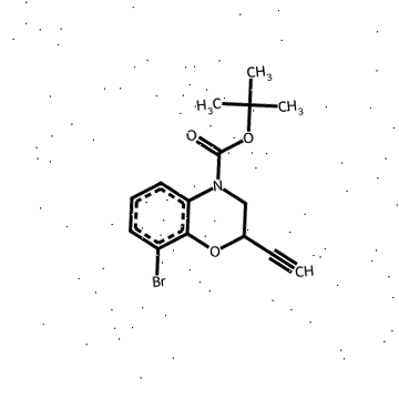 C#CC1CN(C(=O)OC(C)(C)C)c2cccc(Br)c2O1